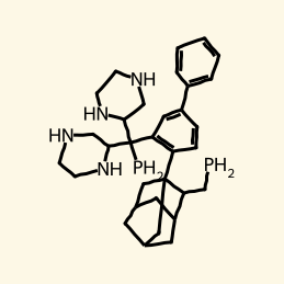 PCC1C2CC3CC(C2)CC1(c1ccc(-c2ccccc2)cc1C(P)(C1CNCCN1)C1CNCCN1)C3